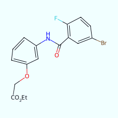 CCOC(=O)COc1cccc(NC(=O)c2cc(Br)ccc2F)c1